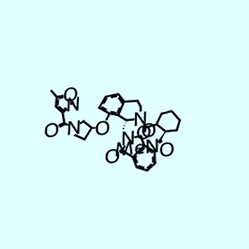 CNC(=O)[C@@H]1CCCCC1C(=O)N1CCc2cccc(O[C@H]3CCN(C(=O)c4cc(C)on4)C3)c2[C@H]1CN1C(=O)c2ccccc2C1=O